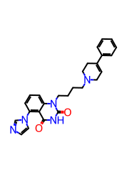 O=c1[nH]c(=O)n(CCCCN2CC=C(c3ccccc3)CC2)c2cccc(-n3ccnc3)c12